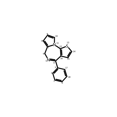 c1ccc(C2=NCc3cccn3-c3sccc32)cc1